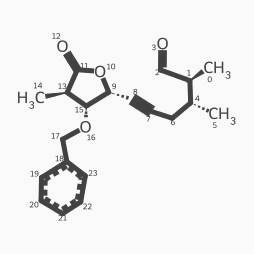 C[C@H](C=O)[C@H](C)CC#C[C@H]1OC(=O)[C@H](C)[C@H]1OCc1ccccc1